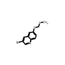 COCOc1ccc2ncc(Br)cc2c1